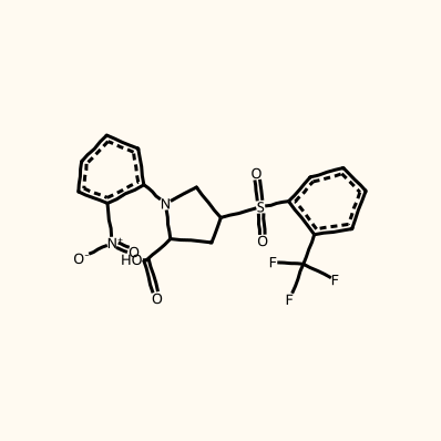 O=C(O)C1CC(S(=O)(=O)c2ccccc2C(F)(F)F)CN1c1ccccc1[N+](=O)[O-]